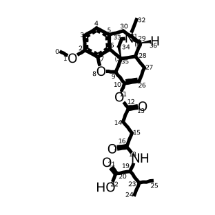 COc1ccc2c3c1OC1C(OC(=O)CCC(=O)NC(C(=O)O)C(C)C)=CCC4[C@@H](C2)N(C)CC[C@]314